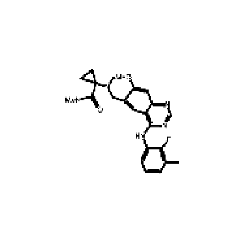 CNC(=O)C1(N(C)Cc2cc3c(Nc4cccc(C)c4F)ncnc3cc2OC)CC1